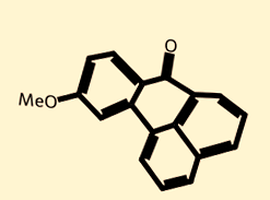 COc1ccc2c(c1)-c1cccc3cccc(c13)C2=O